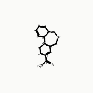 NC(=O)C1=CC2COCC3C=CC=CC3C2CC1